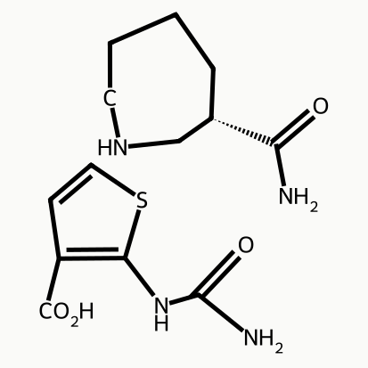 NC(=O)Nc1sccc1C(=O)O.NC(=O)[C@H]1CCCCNC1